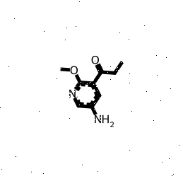 CCC(=O)c1cc(N)cnc1OC